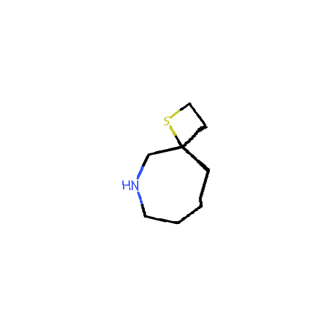 C1CCC2(CCS2)CNC1